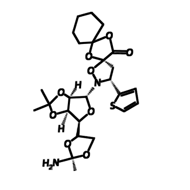 CC1(C)O[C@@H]2[C@H](O1)[C@H](C1CO[C@@](C)(N)O1)O[C@H]2N1O[C@@]2(C[C@@H]1c1cccs1)OC1(CCCCC1)OC2=O